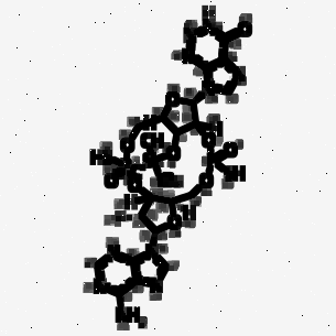 CC(C)(C)[Si](C)(C)OC1[C@H]2OP(=O)(S)OC[C@H]3O[C@@H](n4cnc5c(N)ncnc54)[C@H](F)[C@@H]3OP(=O)(S)OC[C@H]1O[C@H]2n1cnc2c(=O)[nH]nnc21